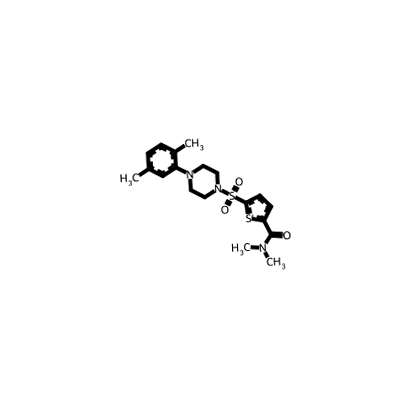 Cc1ccc(C)c(N2CCN(S(=O)(=O)c3ccc(C(=O)N(C)C)s3)CC2)c1